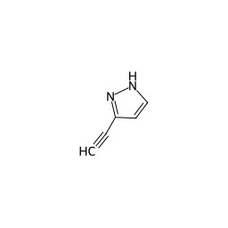 C#Cc1cc[nH]n1